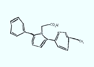 Cc1ccc(-c2ccc(-c3ccccc3)n2CC(=O)O)cc1